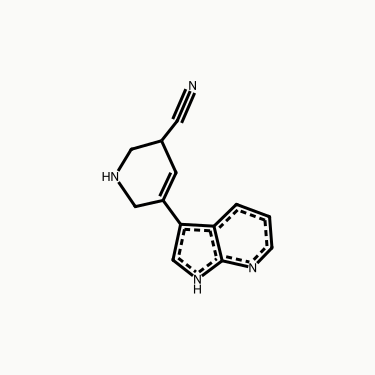 N#CC1C=C(c2c[nH]c3ncccc23)CNC1